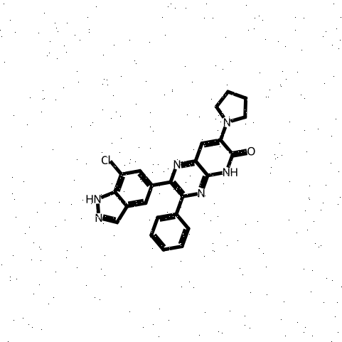 O=c1[nH]c2nc(-c3ccccc3)c(-c3cc(Cl)c4[nH]ncc4c3)nc2cc1N1CCCC1